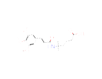 COc1cc(/C=C/C(=O)NC(C)(C)CCCC(=O)O)cc(OC)c1OC